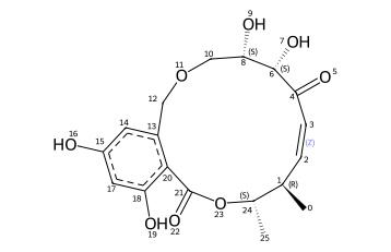 C[C@@H]1/C=C\C(=O)[C@@H](O)[C@@H](O)COCc2cc(O)cc(O)c2C(=O)O[C@H]1C